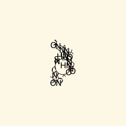 C=CC(=O)N1CCN(C(=O)N(C)[C@H](C(=O)N[C@H]2Cc3nc(cs3)-c3ccc4c(c3)c(c(-c3cccnc3[C@H](C)OC)n4CC)CC(C)(C)COC(=O)[C@@H]3CCCN(N3)C2=O)C(C)C)C2(CC2)C1